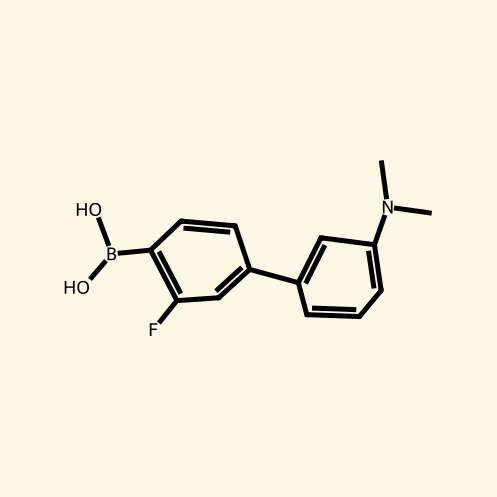 CN(C)c1cccc(-c2ccc(B(O)O)c(F)c2)c1